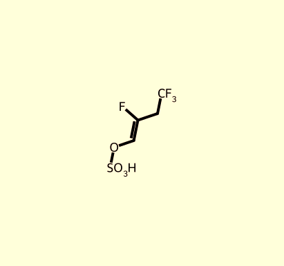 O=S(=O)(O)OC=C(F)CC(F)(F)F